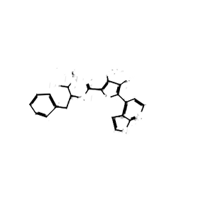 COc1c(C(=O)NC(Cc2ccccc2)C(NC(=O)O)C(C)(C)C)sc(-c2ccnc3[nH]ccc23)c1Br